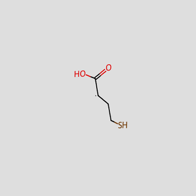 O=C(O)[CH]CCS